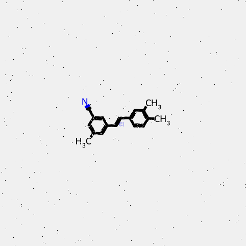 Cc1cc(C#N)cc(/C=C/c2ccc(C)c(C)c2)c1